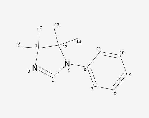 CC1(C)N=CN(c2ccccc2)C1(C)C